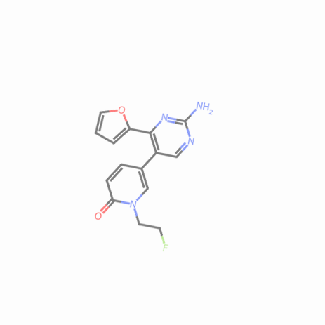 Nc1ncc(-c2ccc(=O)n(CCF)c2)c(-c2ccco2)n1